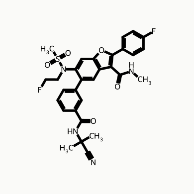 CNC(=O)c1c(-c2ccc(F)cc2)oc2cc(N(CCF)S(C)(=O)=O)c(-c3cccc(C(=O)NC(C)(C)C#N)c3)cc12